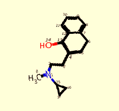 CN(CCC1CCc2ccccc2C1O)C1CC1